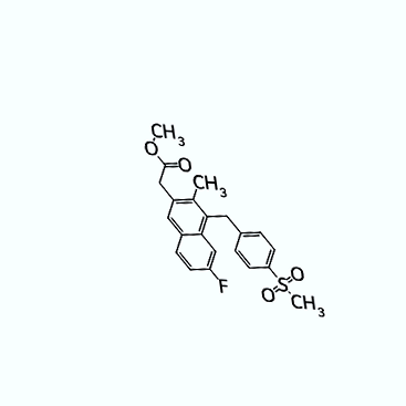 COC(=O)Cc1cc2ccc(F)cc2c(Cc2ccc(S(C)(=O)=O)cc2)c1C